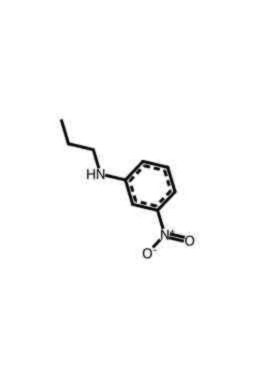 CCCNc1cccc([N+](=O)[O-])c1